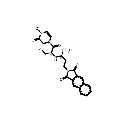 CC(C)C[C@H](N[C@H](CCN1C(=O)c2cc3ccccc3cc2C1=O)C(=O)O)C(=O)N1C=C[S+]([O-])C(=O)C1